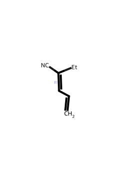 C=C/C=C(/C#N)CC